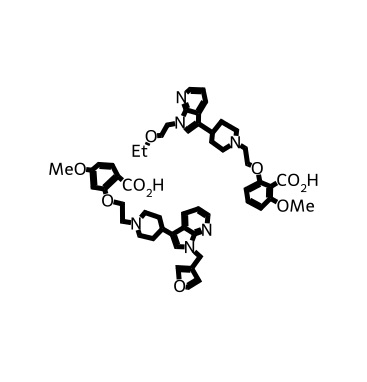 CCOCCn1cc(C2CCN(CCOc3cccc(OC)c3C(=O)O)CC2)c2cccnc21.COc1ccc(C(=O)O)c(OCCN2CCC(c3cn(Cc4ccoc4)c4ncccc34)CC2)c1